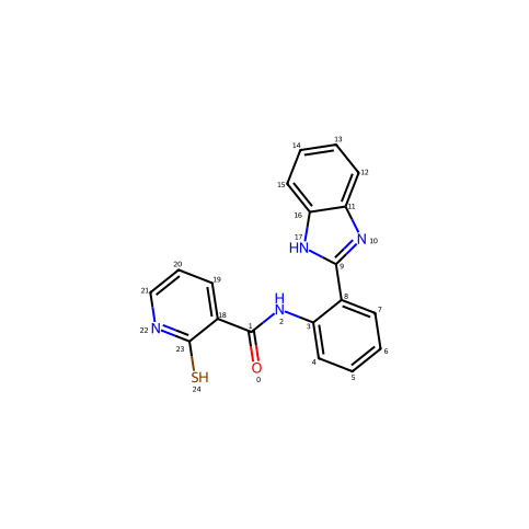 O=C(Nc1ccccc1-c1nc2ccccc2[nH]1)c1cccnc1S